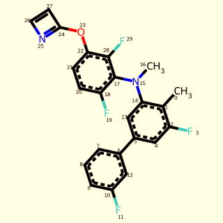 Cc1c(F)cc(-c2cccc(F)c2)cc1N(C)c1c(F)ccc(OC2=NC=C2)c1F